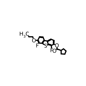 CCCOc1ccc2c(sc3c(F)c(OC(=O)C4CCCC4)ccc32)c1F